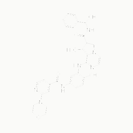 CC1=C2C(Nc3cc(NC(=O)c4ccnc(N5CCOCC5)c4)ccc3C)=NC=CN2CC1C(=O)NC(C)c1ccccc1